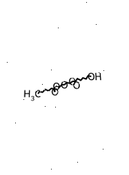 CCCCCCC(=O)OCCOCCOC(=O)CCCCCO